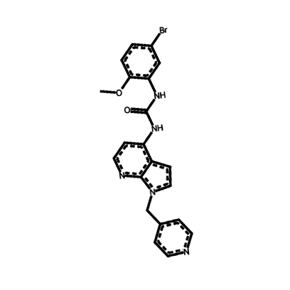 COc1ccc(Br)cc1NC(=O)Nc1ccnc2c1ccn2Cc1ccncc1